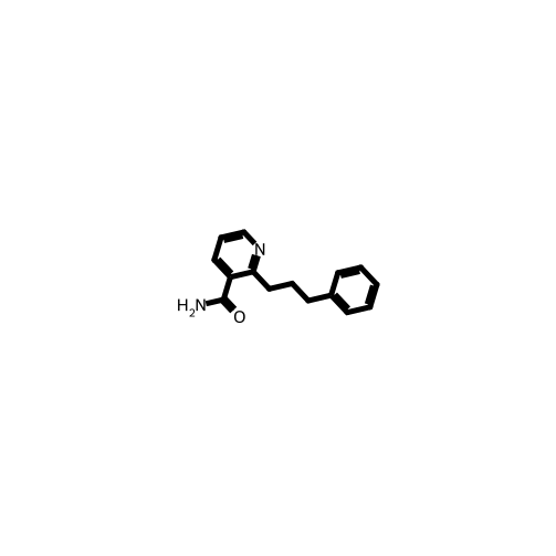 NC(=O)c1cccnc1CCCc1ccccc1